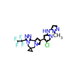 Cn1nccc1Nc1cc(-c2cc3n(c2)CC2(CC2)Cn2c-3nnc2C(F)(F)C(F)F)c(Cl)cn1